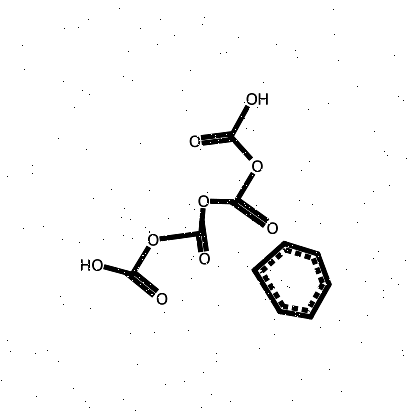 O=C(O)OC(=O)OC(=O)OC(=O)O.c1ccccc1